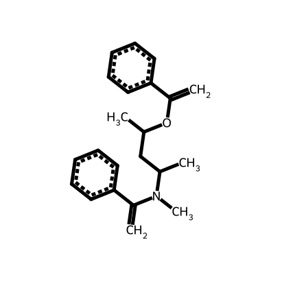 C=C(OC(C)CC(C)N(C)C(=C)c1ccccc1)c1ccccc1